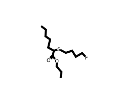 CCCCCC(SCCCCF)C(=O)OCCC